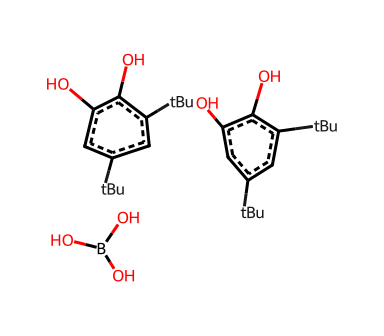 CC(C)(C)c1cc(O)c(O)c(C(C)(C)C)c1.CC(C)(C)c1cc(O)c(O)c(C(C)(C)C)c1.OB(O)O